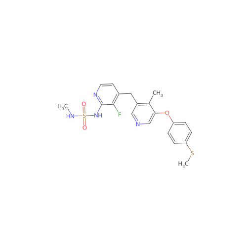 CNS(=O)(=O)Nc1nccc(Cc2cncc(Oc3ccc(SC)cc3)c2C)c1F